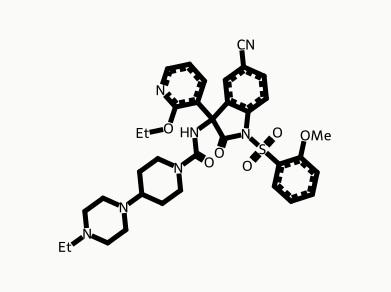 CCOc1ncccc1C1(NC(=O)N2CCC(N3CCN(CC)CC3)CC2)C(=O)N(S(=O)(=O)c2ccccc2OC)c2ccc(C#N)cc21